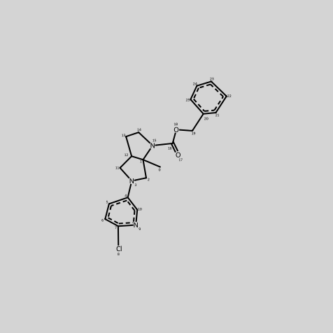 CC12CN(c3ccc(Cl)nc3)CC1CCN2C(=O)OCc1ccccc1